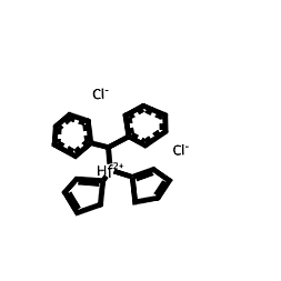 C1=CC[C]([Hf+2]([C]2=CC=CC2)[CH](c2ccccc2)c2ccccc2)=C1.[Cl-].[Cl-]